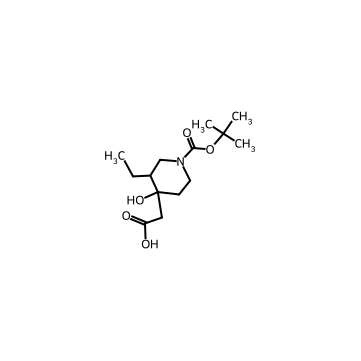 CCC1CN(C(=O)OC(C)(C)C)CCC1(O)CC(=O)O